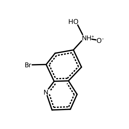 [O-][NH+](O)c1cc(Br)c2ncccc2c1